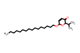 CCCCCCCCCCCCCCCCOC1C=CC(=O)C(C(C)C)O1